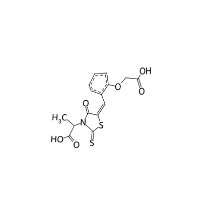 CC(C(=O)O)N1C(=O)/C(=C\c2ccccc2OCC(=O)O)SC1=S